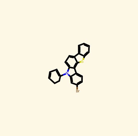 Brc1ccc2c3c4sc5ccccc5c4ccc3n(C3=CC=CCC3)c2c1